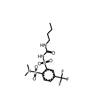 CCCCNC(=O)NS(=O)(=O)c1cc(C(F)(F)F)ccc1S(=O)(=O)N(C)C